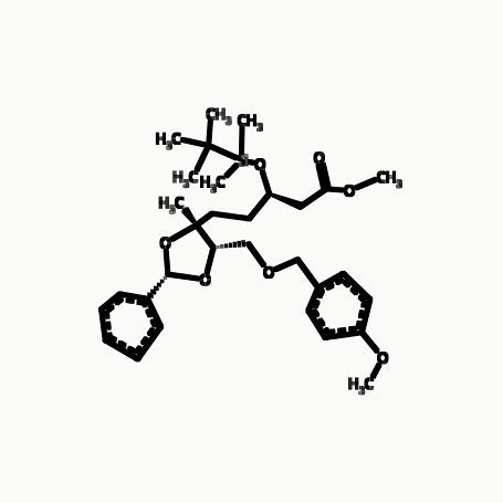 COC(=O)C[C@@H](CC[C@@]1(C)O[C@@H](c2ccccc2)O[C@H]1COCc1ccc(OC)cc1)O[Si](C)(C)C(C)(C)C